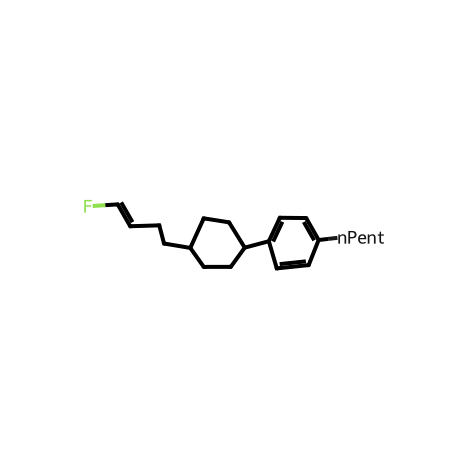 CCCCCc1ccc(C2CCC(CCC=CF)CC2)cc1